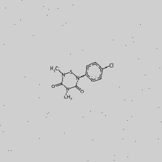 CN1SN(c2ccc(Cl)cc2)C(=O)N(C)C1=O